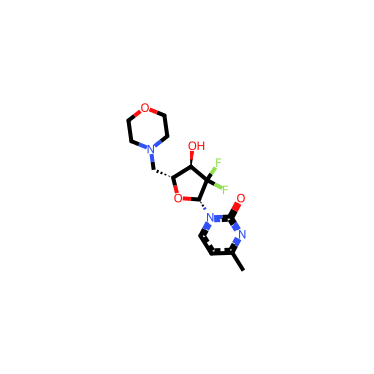 Cc1ccn([C@@H]2O[C@H](CN3CCOCC3)[C@@H](O)C2(F)F)c(=O)n1